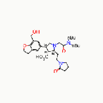 CCCCN(CCCC)C(=O)CN1C[C@H](c2cc(CO)c3c(c2)CCO3)[C@@H](C(=O)O)[C@@H]1CCN1CCCC1=O